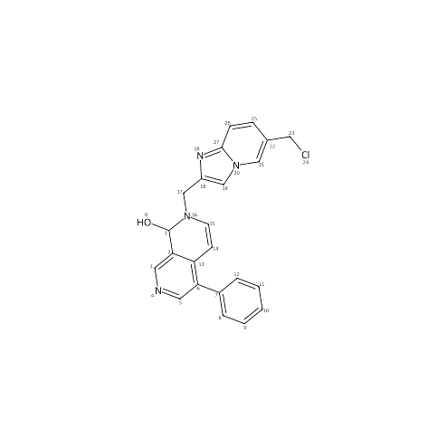 OC1c2cncc(-c3ccccc3)c2C=CN1Cc1cn2cc(CCl)ccc2n1